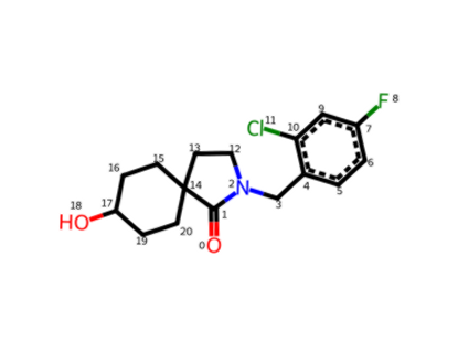 O=C1N(Cc2ccc(F)cc2Cl)CCC12CCC(O)CC2